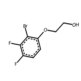 OCCOc1ccc(F)c(F)c1Br